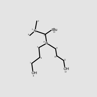 CN(C)C(N(CCCO)CCCO)C(C)(C)C